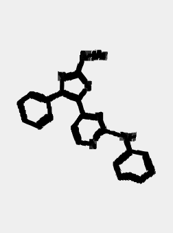 CC(=O)Nc1nc(-c2ccccc2)c(-c2ccnc(Nc3ccccc3)n2)s1